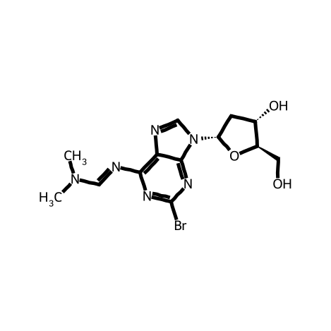 CN(C)C=Nc1nc(Br)nc2c1ncn2[C@@H]1C[C@H](O)[C@@H](CO)O1